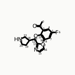 CC(=O)c1cc(F)cc(F)c1O[C@H](c1ncco1)C1CCNC1